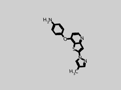 Cc1cnn(-c2cc3nccc(Oc4ccc(N)cc4)c3s2)c1